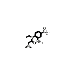 CCN(C(=O)CN(C)C)c1ccc([N+](=O)[O-])cc1N